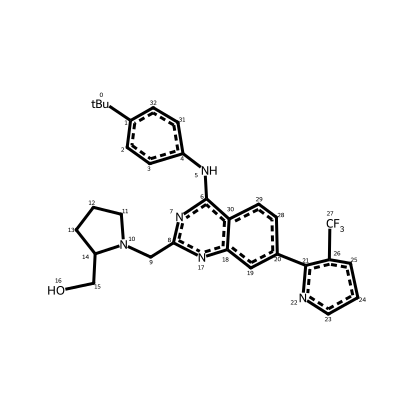 CC(C)(C)c1ccc(Nc2nc(CN3CCCC3CO)nc3cc(-c4ncccc4C(F)(F)F)ccc23)cc1